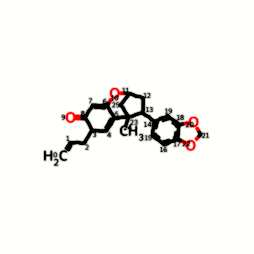 C=CCC1C=C2C(=CC1=O)OC1CC(c3ccc4c(c3)OCO4)C2(C)C1